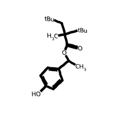 CC(OC(=O)C(C)(CC(C)(C)C)C(C)(C)C)c1ccc(O)cc1